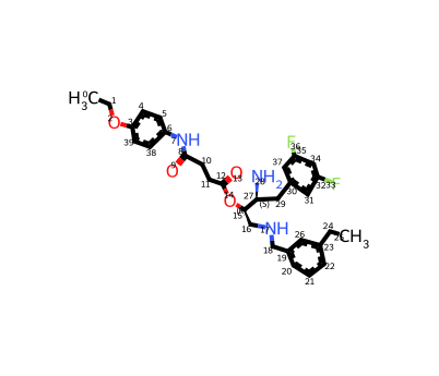 CCOc1ccc(NC(=O)CCC(=O)O[C@H](CNCc2cccc(CC)c2)[C@@H](N)Cc2cc(F)cc(F)c2)cc1